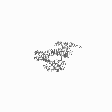 CCCCC(CC)C[O][Ti]([N](CCC)CCC)([N](CCC)CCC)[N](CCC)CCC.CCCCCCCCCC[O][Ti]([N](CCC)CCC)([N](CCC)CCC)[N](CCC)CCC.CCCCCC[O][Ti]([N](CCC)CCC)([N](CCC)CCC)[N](CCC)CCC